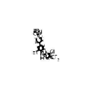 CCc1cc(C2CCN(C(=O)OC(C)(C)C)CC2)ccc1Nc1ncc(C(F)(F)F)c(Cl)n1